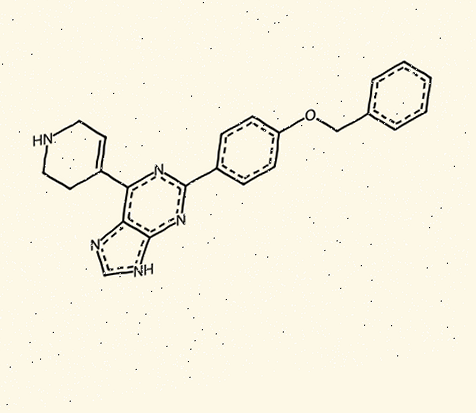 C1=C(c2nc(-c3ccc(OCc4ccccc4)cc3)nc3[nH]cnc23)CCNC1